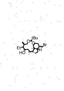 C=C(COC(=O)C(C)(C)C)[C@H](CC)[C@H](O)C[C@@H](C)[C@H]1CC[C@H]2/C(=C/Br)CCC[C@]12C